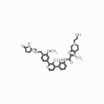 COc1cc(-c2nccc(-c3cccc(NC(=O)c4nc5c(n4C)CCN(CCO)C5)c3C)c2Cl)ccc1CNC[C@H]1CCC(=O)N1